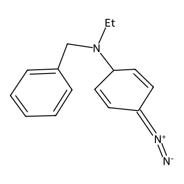 CCN(Cc1ccccc1)C1C=CC(=[N+]=[N-])C=C1